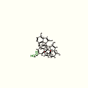 CC1=Cc2c(C)ccc(C)c2[CH]1[Zr](=[SiH2])([c]1ccccc1)([c]1ccccc1)[CH]1C(C)=Cc2c(C)ccc(C)c21.Cl.Cl